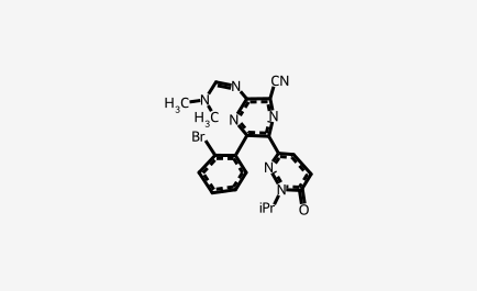 CC(C)n1nc(-c2nc(C#N)c(/N=C\N(C)C)nc2-c2ccccc2Br)ccc1=O